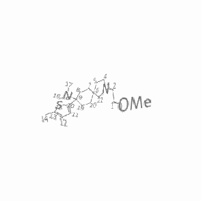 COCCN1CCC2(CCC(c3ccc(C)s3)(N(C)C)CC2)C1